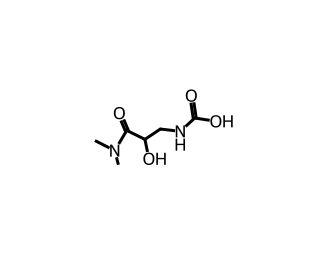 CN(C)C(=O)C(O)CNC(=O)O